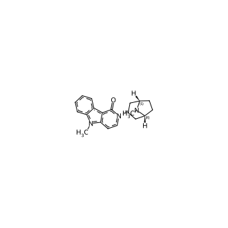 CN1[C@@H]2CC[C@H]1C[C@@H](n1ccc3c(c1=O)c1ccccc1n3C)C2